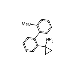 COc1ccccc1-c1ccncc1C1(N)CC1